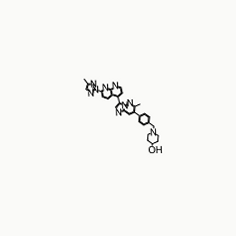 Cc1cnn(-c2ccc3c(-c4cnc5cc(-c6ccc(CN7CCC(O)CC7)cc6)c(C)nn45)ccnc3n2)n1